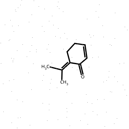 CC(C)=C1CCC=CC1=O